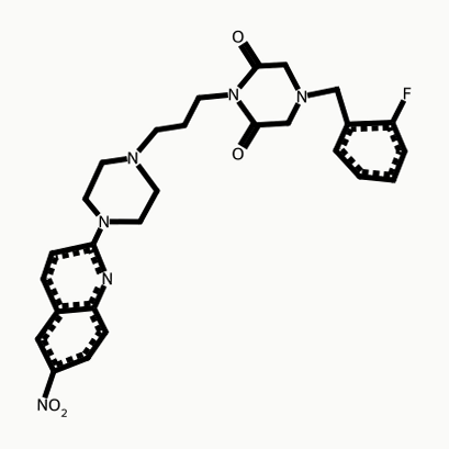 O=C1CN(Cc2ccccc2F)CC(=O)N1CCCN1CCN(c2ccc3cc([N+](=O)[O-])ccc3n2)CC1